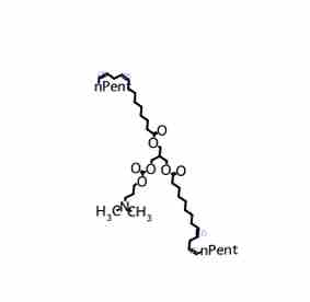 CCCCC/C=C\C/C=C\CCCCCCCC(=O)OCC(COC(=O)CCCCCCC/C=C\C/C=C\CCCCC)COC(=O)OCCCN(C)C